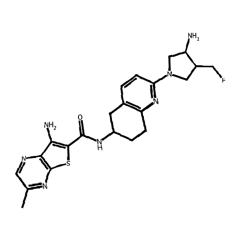 Cc1cnc2c(N)c(C(=O)NC3CCc4nc(N5CC(N)C(CF)C5)ccc4C3)sc2n1